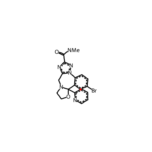 CNC(=O)c1nc2n(n1)-c1ccc(Br)cc1C1(c3ccccn3)OCCN1C2